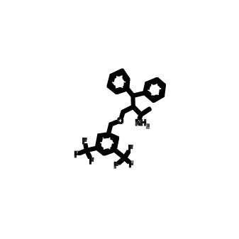 CC(N)C(COCc1cc(C(F)(F)F)cc(C(F)(F)F)c1)C(c1ccccc1)c1ccccc1